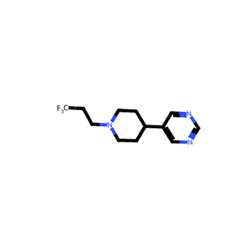 FC(F)(F)CCN1CCC(c2cncnc2)CC1